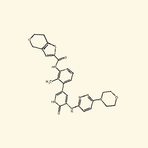 Cc1c(NC(=O)c2cc3c(s2)CCOC3)cccc1-c1c[nH]c(=O)c(Nc2ccc(N3CCOCC3)nn2)c1